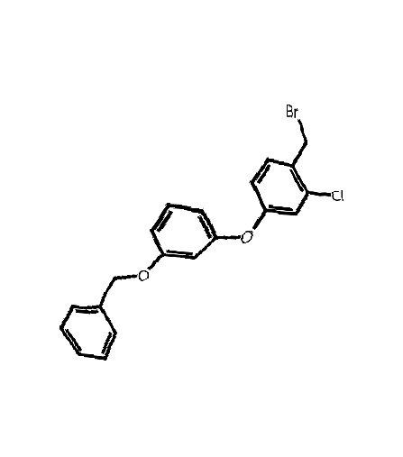 Clc1cc(Oc2cccc(OCc3ccccc3)c2)ccc1CBr